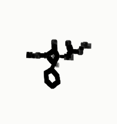 CON1C(=O)[C@H](NC(=O)OC(C)(C)C)[C@H]1C1CCCCC1